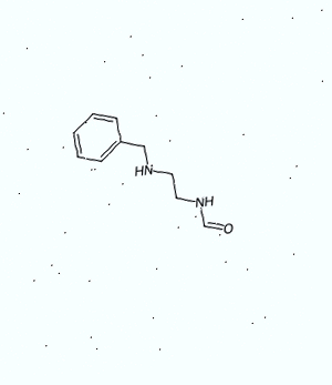 O=CNCCNCc1ccccc1